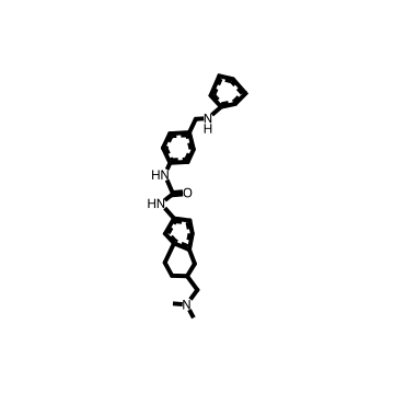 CN(C)CC1CCc2cc(NC(=O)Nc3ccc(CNc4ccccc4)cc3)ccc2C1